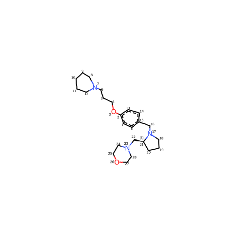 c1cc(OCCCN2CCCCC2)ccc1CN1CCC[C@H]1CN1CCOCC1